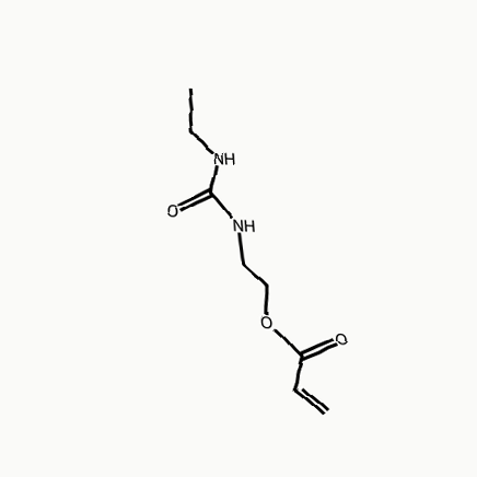 C=CC(=O)OCCNC(=O)NCC